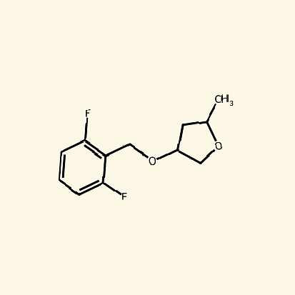 CC1CC(OCc2c(F)cccc2F)CO1